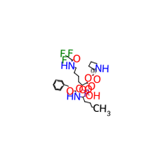 CCCCC(NC(=O)OCc1ccccc1)P(=O)(O)OC(CCCCNC(=O)C(F)(F)F)C(=O)OC(=O)[C@@H]1CCCN1